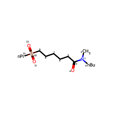 CCCCN(C)C(=O)CCCCCS(=O)(=O)CCC